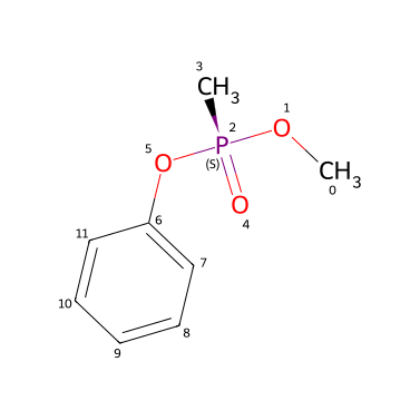 CO[P@](C)(=O)Oc1ccccc1